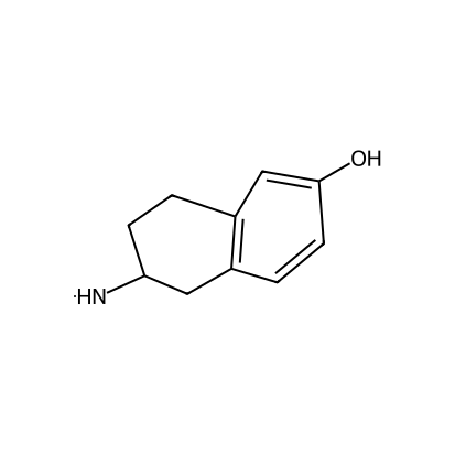 [NH]C1CCc2cc(O)ccc2C1